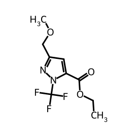 CCOC(=O)c1cc(COC)nn1C(F)(F)F